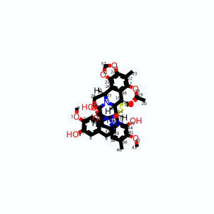 COc1cc2c(cc1O)CCN[C@]21CS[C@@H]2c3c(OC(C)=O)c(C)c4c(c3[C@H](COC1=O)N1C(O)[C@@H]3Cc5cc(C)c(OC)c(O)c5[C@H]([C@H]21)N3C)OCO4